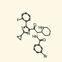 O=C(N[C@H](C(=O)c1nc(C2CC2)sc1-c1ccccc1F)C1CCCCN1)c1cccc(Br)c1